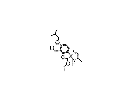 CCOC(=O)C1(c2ccc(OCC(C)C)c(C=O)c2)NC(C)=CS1